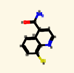 NC(=O)c1ccnc2c(S)cccc12